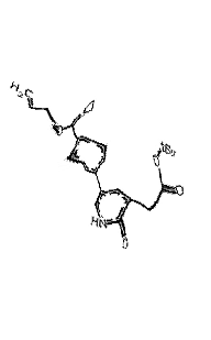 C=CCOC(=O)c1ccc(-c2c[nH]c(=O)c(CC(=O)OC(C)(C)C)c2)cc1